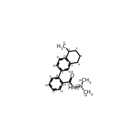 CC1CCCc2cc(-c3ccccc3C(=O)NN(C)C)ccc21